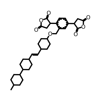 CC1CCC(C2CCC(/C=C/C3CCC(OCc4cc(C5CC(=O)OC5=O)ccc4C4CC(=O)OC4=O)CC3)CC2)CC1